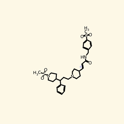 CS(=O)(=O)c1ccc(CNC(=O)/C=C/C2CCN(CCC(c3ccccc3)C3CCN(S(C)(=O)=O)CC3)CC2)cc1